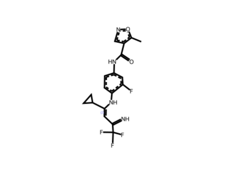 Cc1oncc1C(=O)Nc1ccc(N/C(=C\C(=N)C(F)(F)F)C2CC2)c(F)c1